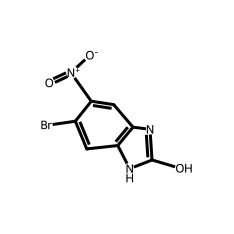 O=[N+]([O-])c1cc2nc(O)[nH]c2cc1Br